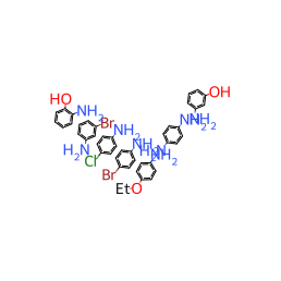 CCOc1ccc(N)cc1.Nc1ccc(Br)cc1.Nc1ccc(Cl)cc1.Nc1ccc(N)cc1.Nc1cccc(Br)c1.Nc1cccc(O)c1.Nc1ccccc1O